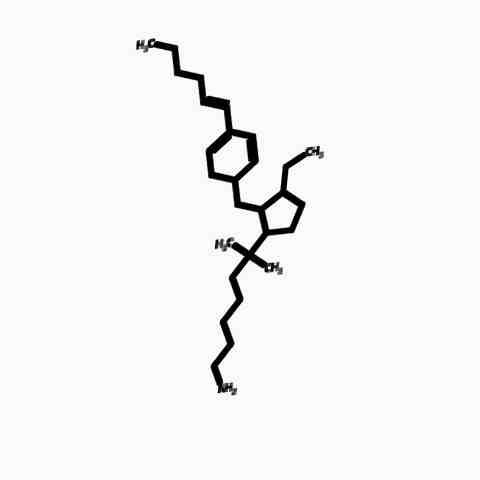 CCCCC=CC1=CCC(CC2C(CC)CCC2C(C)(C)CCCCCN)C=C1